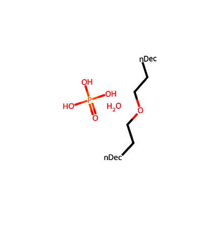 CCCCCCCCCCCCOCCCCCCCCCCCC.O.O=P(O)(O)O